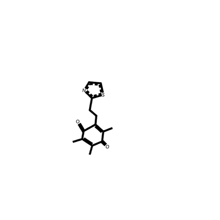 CC1=C(C)C(=O)C(CCc2nccs2)=C(C)C1=O